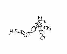 CCOC(=O)COc1ccc(-n2nc(C)c(C)c2-c2ccc(Cl)cc2)cc1